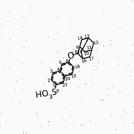 O=S(=O)(O)c1ccc2cc(OC3C4CC5CC(C4)CC3C5)ccc2c1